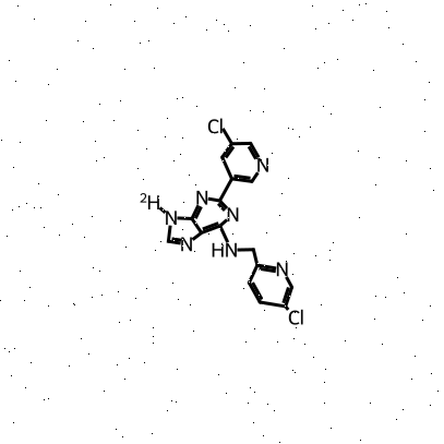 [2H]n1cnc2c(NCc3ccc(Cl)cn3)nc(-c3cncc(Cl)c3)nc21